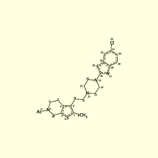 CC(=O)N1CCc2c(sc(C)c2CCN2CCN(c3nc4ccc(Cl)cc4s3)CC2)C1